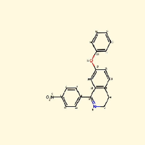 O=[N+]([O-])c1ccc(C2=NCCc3ccc(Oc4ccccc4)cc32)cc1